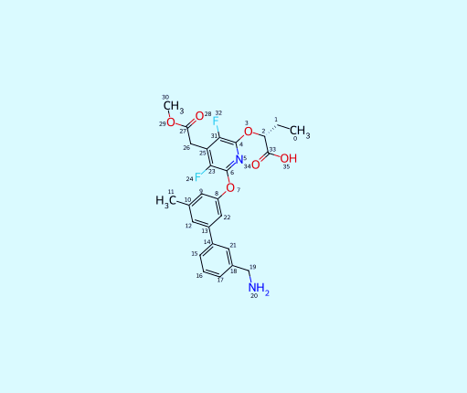 CC[C@@H](Oc1nc(Oc2cc(C)cc(-c3cccc(CN)c3)c2)c(F)c(CC(=O)OC)c1F)C(=O)O